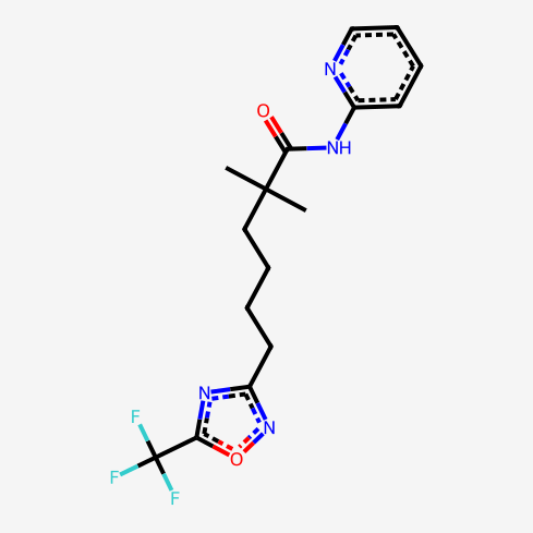 CC(C)(CCCCc1noc(C(F)(F)F)n1)C(=O)Nc1ccccn1